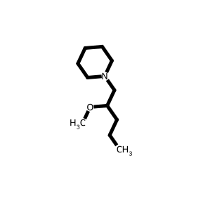 CCCC(CN1CCCCC1)OC